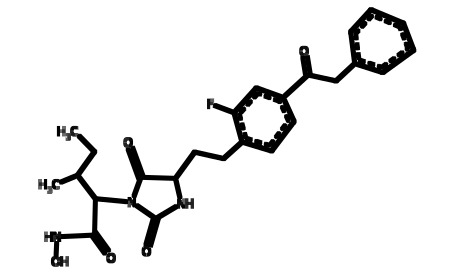 CCC(C)C(C(=O)NO)N1C(=O)NC(CCc2ccc(C(=O)Cc3ccccc3)cc2F)C1=O